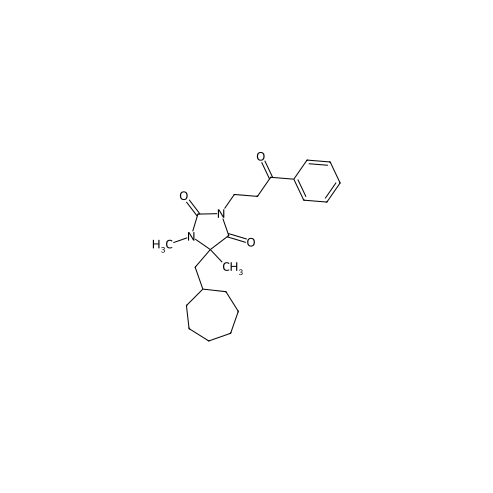 CN1C(=O)N(CCC(=O)c2ccccc2)C(=O)C1(C)CC1CCCCCC1